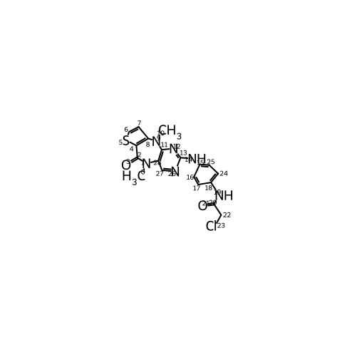 CN1C(=O)c2sccc2N(C)c2nc(Nc3ccc(NC(=O)CCl)cc3)ncc21